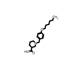 CCCCCCOc1ccc(CN2CCCC(C(=O)O)C2)cc1